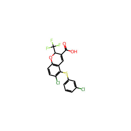 O=C(O)C1=Cc2c(ccc(Cl)c2Sc2cccc(Cl)c2)OC1C(F)(F)F